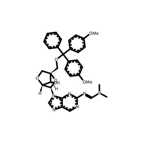 COc1ccc(C(OC[C@@]23CO[C@@H]([C@H](n4cnc5cnc(N=CN(C)C)nc54)O2)[C@@H]3O)(c2ccccc2)c2ccc(OC)cc2)cc1